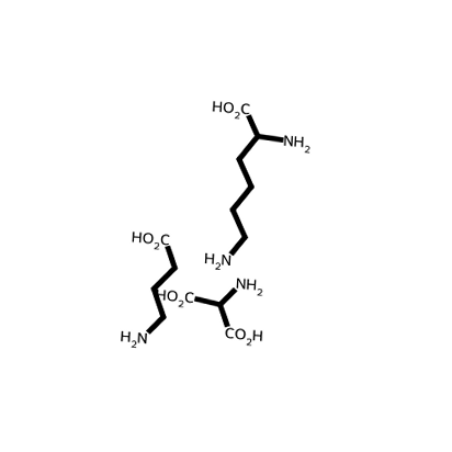 NC(C(=O)O)C(=O)O.NCCCC(=O)O.NCCCCC(N)C(=O)O